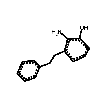 Nc1c(O)cccc1CCc1ccccc1